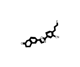 N#Cc1cc(-c2ncc(-c3ccc4c(c3)CCC(=O)C4)o2)ccc1CCCF